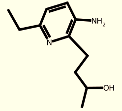 CCc1ccc(N)c(CCC(C)O)n1